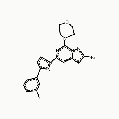 Cc1cccc(-c2ccn(-c3nc(N4CCOCC4)n4nc(Br)cc4n3)n2)c1